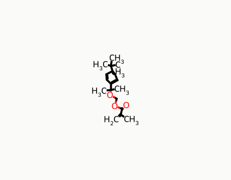 C=C(C)C(=O)OCOC(C)(C)c1ccc(C(C)(C)C)cc1